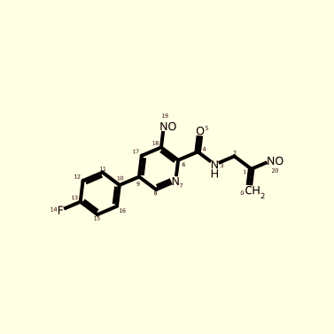 C=C(CNC(=O)c1ncc(-c2ccc(F)cc2)cc1N=O)N=O